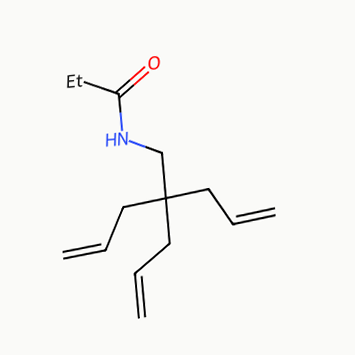 C=CCC(CC=C)(CC=C)CNC(=O)CC